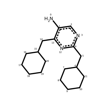 Nc1cnc(CC2CCCCC2)nc1CC1CCCCC1